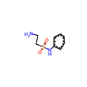 NCCS(=O)(=O)Nc1c[c]ccc1